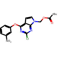 CC(C)(C)C(=O)OCn1ccc2c(Oc3cccc([N+](=O)[O-])c3)nc(Cl)nc21